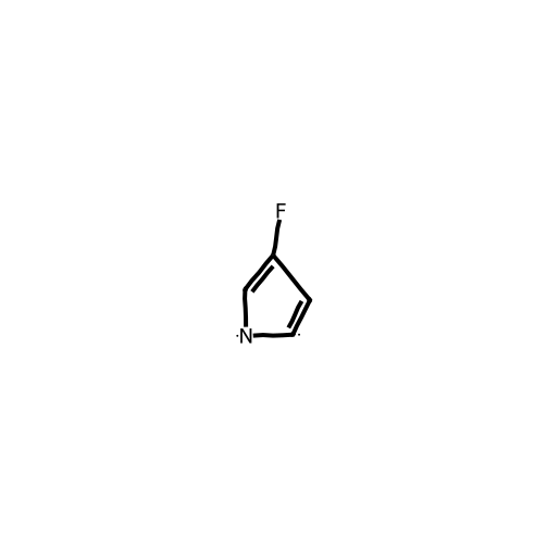 FC1=C[N][C]=C1